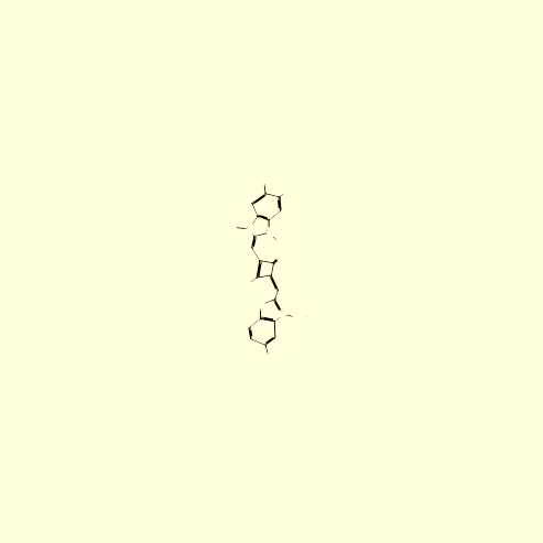 CCCCCCCCCC[n+]1c(/C=C2/C(=O)C(C=C3N(CC)c4cc(Cl)c(Cl)cc4N3CC)=C2O)sc2ccc(C(F)(F)F)cc21